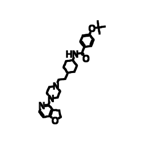 CC(C)(C)Oc1ccc(C(=O)NC2CCC(CCN3CCN(c4nccc5c4CCO5)CC3)CC2)cc1